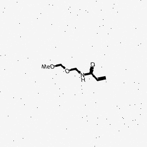 C=CC(=O)NCOCOC